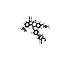 CCc1nc(-c2ccc(NC(=C3C(=O)Nc4ccc([N+](=O)[O-])cc43)c3ccc(CN)cc3)cc2)c[nH]1